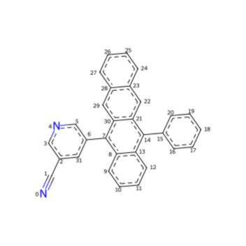 N#Cc1cncc(-c2c3ccccc3c(-c3ccccc3)c3cc4ccccc4cc23)c1